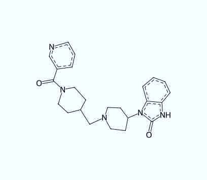 O=C(c1cccnc1)N1CCC(CN2CCC(n3c(=O)[nH]c4ccccc43)CC2)CC1